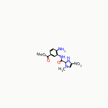 COC(=O)c1ccc(N)c(NC(=O)C2NC([N+](=O)[O-])=CN2C)c1